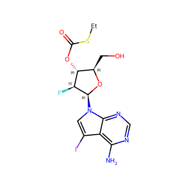 CCSC(=O)O[C@H]1[C@H](F)[C@H](n2cc(I)c3c(N)ncnc32)O[C@@H]1CO